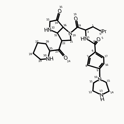 CC(C)CC(NC(=O)c1ccc(N2CCNCC2)cc1)C(=O)N1CC(C(=O)C2CCCCN2)C2NCC(=O)C21